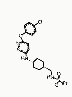 CC(C)S(=O)(=O)NC[C@H]1CC[C@H](Nc2ccc(Oc3ccc(Cl)cc3)nn2)CC1